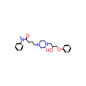 CN(C(=O)CCCN1CCN(CC(O)COc2ccccc2)CC1)c1ccccc1